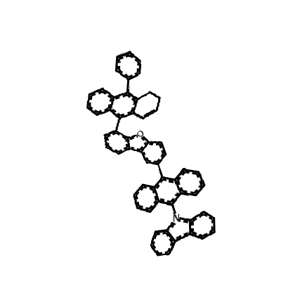 C1=Cc2c(c(-c3ccccc3)c3ccccc3c2-c2cccc3c2oc2ccc(-c4c5ccccc5c(-n5c6ccccc6c6ccccc65)c5ccccc45)cc23)CC1